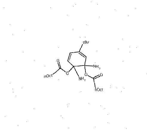 CCCCCCCCC(=O)OC1(N)C=CC(C(C)(C)C)=CC1(N)OC(=O)CCCCCCCC